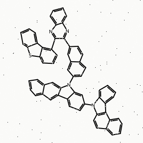 c1ccc2cc3c(cc2c1)c1ccc(-n2c4ccccc4c4c5ccccc5ccc42)cc1n3-c1ccc2ccc(-c3nc4ccccc4nc3-c3cccc4sc5ccccc5c34)cc2c1